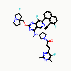 C#Cc1c(F)ccc2cccc(-c3ncc4c(N(C)[C@@H]5CCN(C(=O)/C=C/c6nc(C)nc(C)c6F)C5)nc(OCC56CCCN5C[C@H](F)C6)nc4c3F)c12